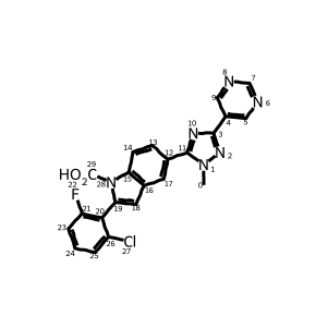 Cn1nc(-c2cncnc2)nc1-c1ccc2c(c1)cc(-c1c(F)cccc1Cl)n2C(=O)O